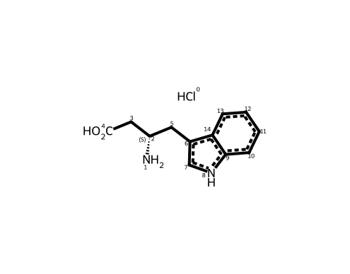 Cl.N[C@H](CC(=O)O)Cc1c[nH]c2ccccc12